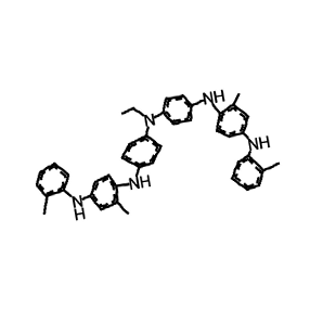 CCN(c1ccc(Nc2ccc(Nc3ccccc3C)cc2C)cc1)c1ccc(Nc2ccc(Nc3ccccc3C)cc2C)cc1